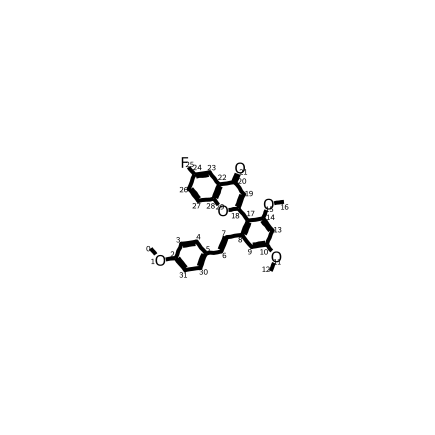 COc1ccc(C=Cc2cc(OC)cc(OC)c2-c2cc(=O)c3cc(F)ccc3o2)cc1